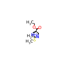 C=C(/N=C\C(=C/N)C(=O)OCC)SC